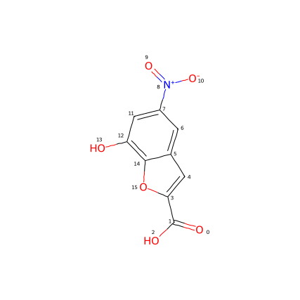 O=C(O)c1cc2cc([N+](=O)[O-])cc(O)c2o1